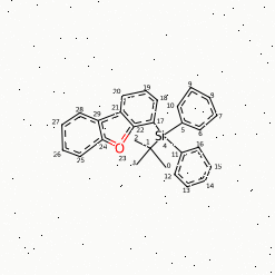 CC(C)(C)[Si](c1ccccc1)(c1ccccc1)c1cccc2c1oc1ccccc12